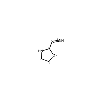 N=CC1NCCO1